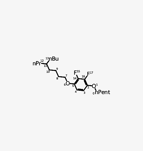 CCCCCOc1ccc(OCCCCC(CCC)CCCC)c(F)c1F